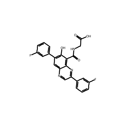 O=C(O)CNC(=O)c1c(O)c(-c2cccc(F)c2)cc2ncc(-c3cccc(F)c3)nc12